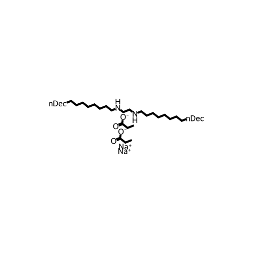 CCC(=O)[O-].CCC(=O)[O-].CCCCCCCCCCCCCCCCCCNCCNCCCCCCCCCCCCCCCCCC.[Na+].[Na+]